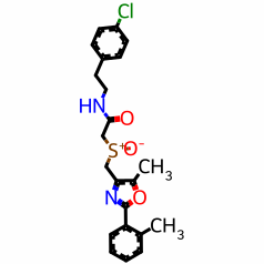 Cc1ccccc1-c1nc(C[S+]([O-])CC(=O)NCCc2ccc(Cl)cc2)c(C)o1